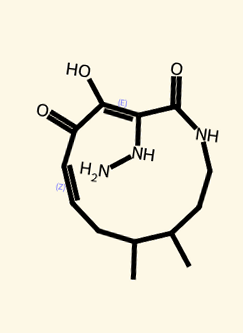 CC1C/C=C\C(=O)/C(O)=C(\NN)C(=O)NCCC1C